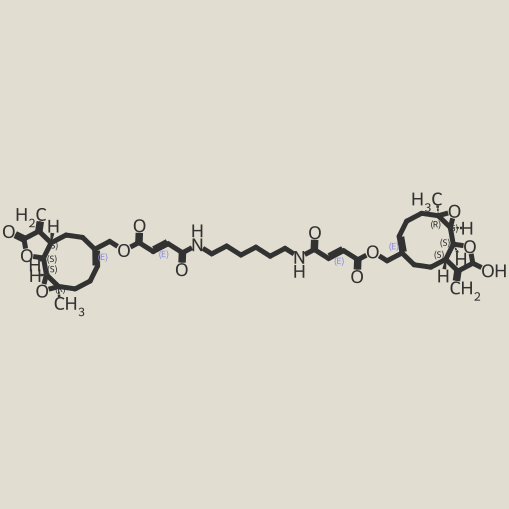 C=C1C(=O)O[C@H]2[C@H]1CC/C(COC(=O)/C=C/C(=O)NCCCCCCNC(=O)/C=C/C(=O)OC/C1=C/CC[C@@]3(C)O[C@H]3[C@H]3OC(O)C(=C)[C@@H]3CC1)=C\CC[C@@]1(C)O[C@@H]21